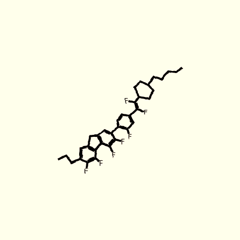 CCCCCC1CCC(/C(F)=C(\F)c2ccc(-c3cc4c(c(F)c3F)-c3c(cc(CCC)c(F)c3F)C4)c(F)c2)CC1